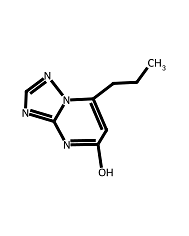 CCCc1cc(O)nc2ncnn12